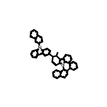 CC1c2c(n(-c3c(-c4ccccc4)ccc4ccccc34)c3ccccc23)C=CC1c1ccc2c(c1)c1ccccc1n2-c1ccc2ccccc2c1